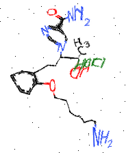 C[C@H](O)[C@@H](CCc1ccccc1OCCCCCCN)n1cnc(C(N)=O)c1.Cl.Cl